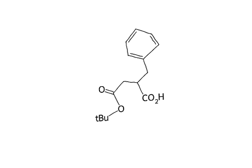 CC(C)(C)OC(=O)CC(Cc1ccccc1)C(=O)O